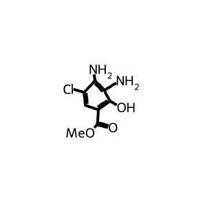 COC(=O)c1cc(Cl)c(N)c(N)c1O